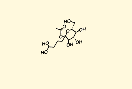 CC(=O)OC1(CCCC(O)O)O[C@H](CO)[C@@H](O)[C@H](O)[C@H]1O